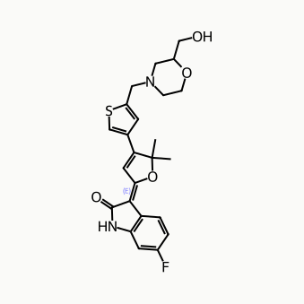 CC1(C)O/C(=C2/C(=O)Nc3cc(F)ccc32)C=C1c1csc(CN2CCOC(CO)C2)c1